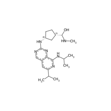 CNC(O)[C@H]1CC[C@@H](Nc2ncc3cc(C(C)C)nc(NC(C)C)c3n2)C1